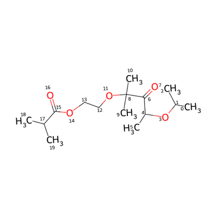 CC(C)OC(C)C(=O)C(C)(C)OCCOC(=O)C(C)C